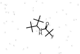 CC(C)(F)C(=O)NC(C(C)(C)C)C(C)(C)C